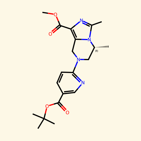 COC(=O)c1nc(C)n2c1CN(c1ccc(C(=O)OC(C)(C)C)cn1)C[C@H]2C